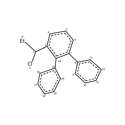 CCC(Cl)c1cccc(-c2ccccc2)c1-c1ccccc1